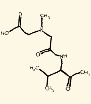 CC(=O)C(NC(=O)CN(C)CC(=O)O)C(C)C